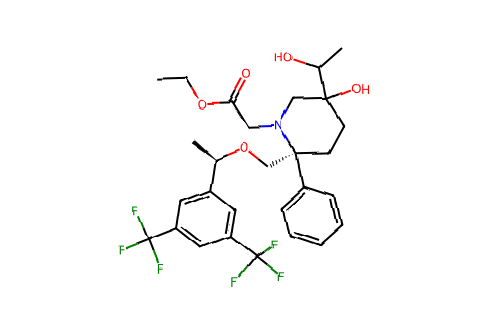 CCOC(=O)CN1CC(O)(C(C)O)CC[C@@]1(CO[C@H](C)c1cc(C(F)(F)F)cc(C(F)(F)F)c1)c1ccccc1